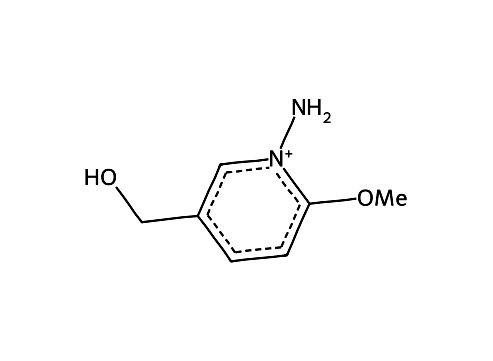 COc1ccc(CO)c[n+]1N